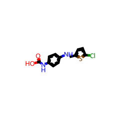 O=C(O)Nc1ccc(NCc2ccc(Cl)s2)cc1